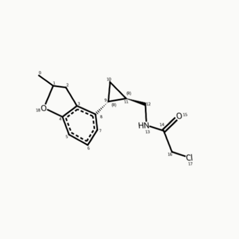 CC1Cc2c(cccc2[C@@H]2C[C@H]2CNC(=O)CCl)O1